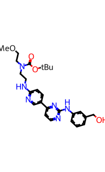 COCCN(CCNc1ccc(-c2ccnc(Nc3cccc(CO)c3)n2)cn1)C(=O)OC(C)(C)C